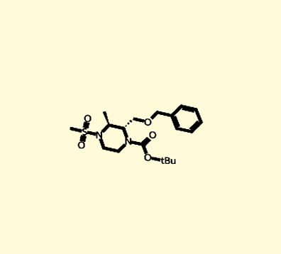 C[C@H]1[C@H](COCc2ccccc2)N(C(=O)OC(C)(C)C)CCN1S(C)(=O)=O